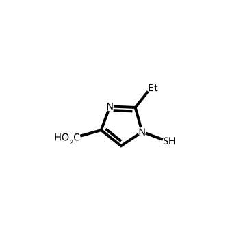 CCc1nc(C(=O)O)cn1S